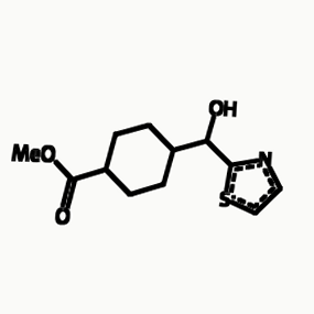 COC(=O)C1CCC(C(O)c2nccs2)CC1